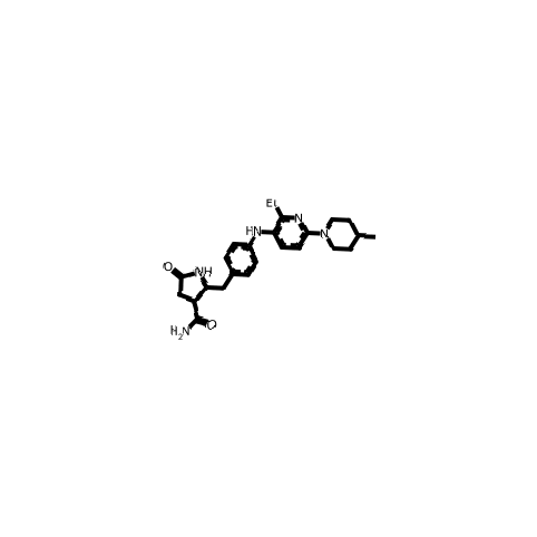 CCc1nc(N2CCC(C)CC2)ccc1Nc1ccc(CC2NC(=O)CC2C(N)=O)cc1